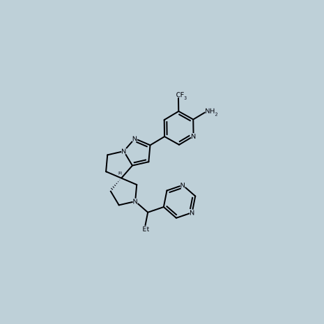 CCC(c1cncnc1)N1CC[C@@]2(CCn3nc(-c4cnc(N)c(C(F)(F)F)c4)cc32)C1